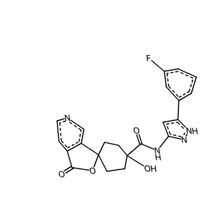 O=C1OC2(CCC(O)(C(=O)Nc3cc(-c4cccc(F)c4)[nH]n3)CC2)c2cnccc21